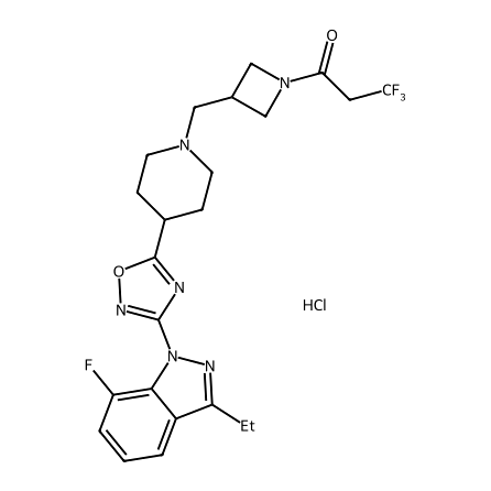 CCc1nn(-c2noc(C3CCN(CC4CN(C(=O)CC(F)(F)F)C4)CC3)n2)c2c(F)cccc12.Cl